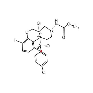 O=C(N[C@@H]1CC[C@@]2(S(=O)(=O)c3ccc(Cl)cc3)c3c(F)ccc(F)c3OC[C@@]2(O)C1)OC(F)(F)F